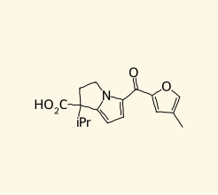 Cc1coc(C(=O)c2ccc3n2CCC3(C(=O)O)C(C)C)c1